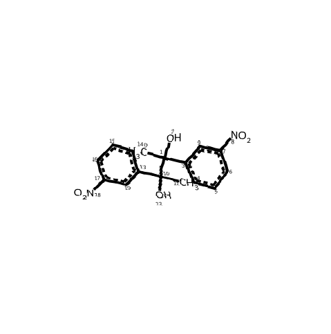 CC(O)(c1cccc([N+](=O)[O-])c1)C(C)(O)c1cccc([N+](=O)[O-])c1